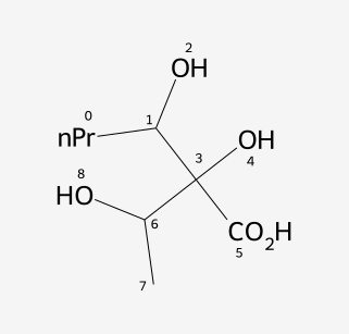 CCCC(O)C(O)(C(=O)O)C(C)O